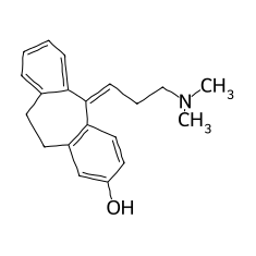 CN(C)CCC=C1c2ccccc2CCc2cc(O)ccc21